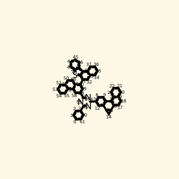 c1ccc(-c2nc(-c3ccc4c(c3)C3CC3c3ccc5ccccc5c3-4)nc(-c3cc(-c4cc5ccccc5c5c4sc4ccccc45)c4ccc5ccccc5c4c3)n2)cc1